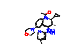 CC(=O)N1c2ccc(N3CCOCC3)cc2[C@H](Nc2cc(C)ccn2)[C@@H](C)C1C1CC1